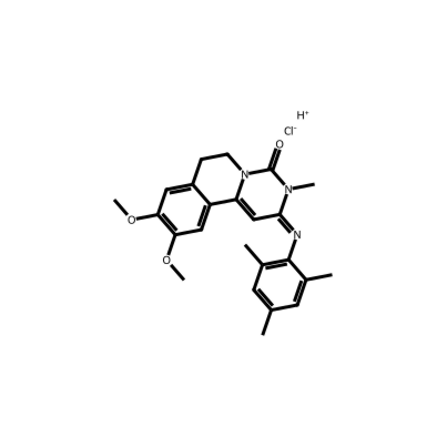 COc1cc2c(cc1OC)-c1cc(=Nc3c(C)cc(C)cc3C)n(C)c(=O)n1CC2.[Cl-].[H+]